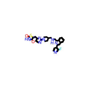 O=C1NC(=O)/C(=C\c2ccnc(N3CCC(CNCc4nc(-c5ccncc5F)cc5ccccc45)CC3)n2)S1